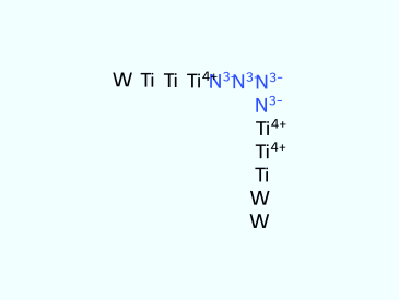 [N-3].[N-3].[N-3].[N-3].[Ti+4].[Ti+4].[Ti+4].[Ti].[Ti].[Ti].[W].[W].[W]